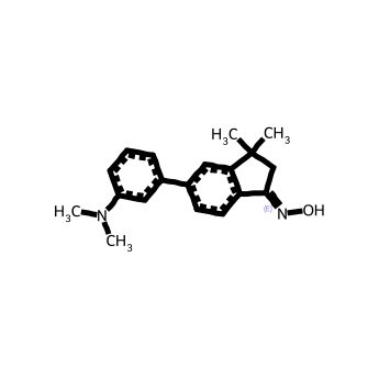 CN(C)c1cccc(-c2ccc3c(c2)C(C)(C)C/C3=N\O)c1